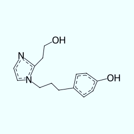 OCCc1nccn1CCCc1ccc(O)cc1